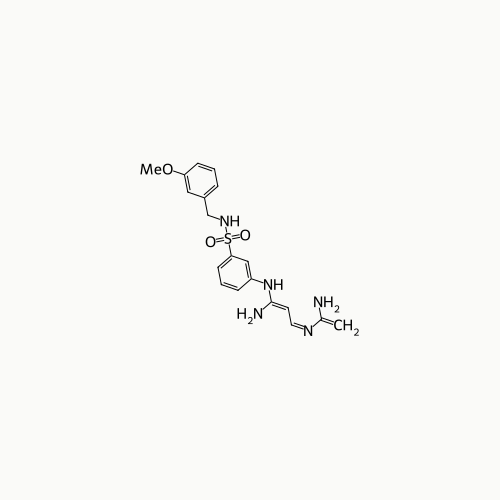 C=C(N)/N=C\C=C(/N)Nc1cccc(S(=O)(=O)NCc2cccc(OC)c2)c1